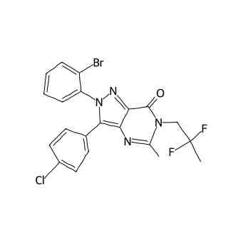 Cc1nc2c(-c3ccc(Cl)cc3)n(-c3ccccc3Br)nc2c(=O)n1CC(C)(F)F